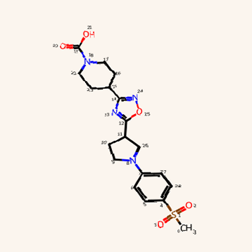 CS(=O)(=O)c1ccc(N2CCC(c3nc(C4CCN(C(=O)O)CC4)no3)C2)cc1